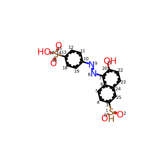 O=[SH](=O)c1ccc2c(N=Nc3ccc(S(=O)(=O)O)cc3)c(O)ccc2c1